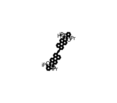 CC(C)c1cccc(C(C)C)c1N1C(=O)c2ccc3c4cccc5c(C#Cc6ccc7c8ccc9c%10c(ccc(c%11cccc6c7%11)c%108)C(O)N(c6c(C(C)C)cccc6C(C)C)C9=O)ccc(c6ccc(c2c36)C1=O)c54